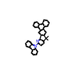 CC1(C)c2cc3c4ccccc4c4ccccc4c3cc2-c2nc(-n3c4ccccc4c4ccccc43)ccc21